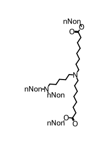 CCCCCCCCCOC(=O)CCCCCCCN(CCCCCCCC(=O)OCCCCCCCCC)CCCCCN(CCCCCCCCC)CCCCCCCCC